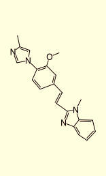 COc1cc(C=Cc2nc3ccccc3n2C)ccc1-n1cnc(C)c1